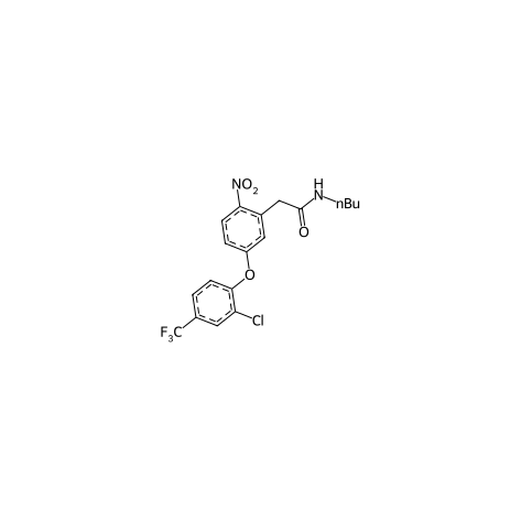 CCCCNC(=O)Cc1cc(Oc2ccc(C(F)(F)F)cc2Cl)ccc1[N+](=O)[O-]